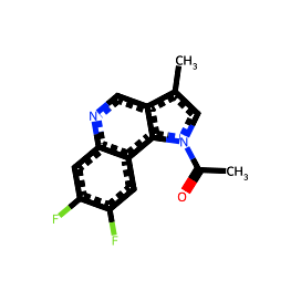 CC(=O)n1cc(C)c2cnc3cc(F)c(F)cc3c21